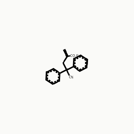 C=C(CC(C#N)(c1ccccc1)c1ccccc1)C(=O)OCC